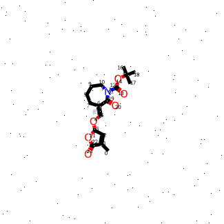 CC1=CC(O/C=C2\CCCCN(C(=O)OC(C)(C)C)C2=O)OC1=O